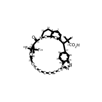 CC(C)(C(=O)O)C1c2ccc3c(c2)CN(CC3)C(=O)c2c(F)cc(cc2F)OCCCCCCn2nnc3cc1ccc32